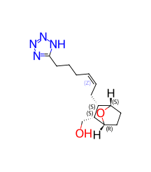 OC[C@@H]1[C@H](C/C=C\CCCc2nnn[nH]2)[C@@H]2CC[C@H]1O2